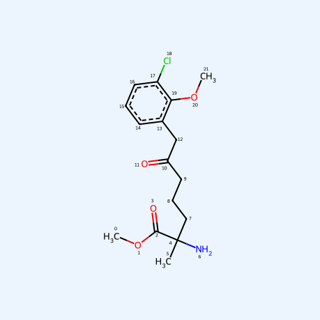 COC(=O)C(C)(N)CCCC(=O)Cc1cccc(Cl)c1OC